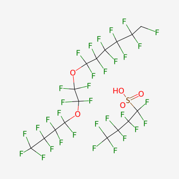 FCC(F)(F)C(F)(F)C(F)(F)C(F)(F)C(F)(F)OC(F)(F)C(F)(F)OC(F)(F)C(F)(F)C(F)(F)C(F)(F)F.O=S(=O)(O)C(F)(F)C(F)(F)C(F)(F)C(F)(F)F